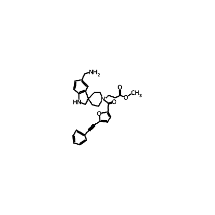 COC(=O)CC[N+]1(C(=O)c2ccc(C#Cc3ccccc3)o2)CCC2(CC1)CNc1ccc(CN)cc12